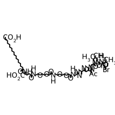 CC(=O)c1nn(CC(=O)N2CC(C)(C)C[C@H]2C(=O)Nc2nc(Br)ccc2C)c2cnc(-c3cnc(CNC(=O)COCCOCCNC(=O)COCCOCCNC(=O)CC[C@H](NC(=O)CCCCCCCCCCCCCCCCC(=O)O)C(=O)O)nc3)cc12